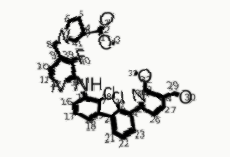 COC(=O)[C@@H]1CCN(Cc2ccnc(Nc3cccc(-c4cccc(-c5ccc(C=O)c(OC)n5)c4Cl)c3Cl)c2F)C1